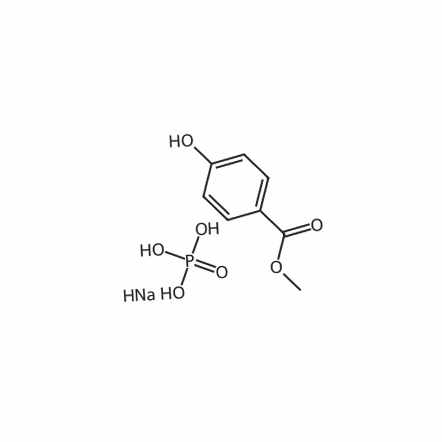 COC(=O)c1ccc(O)cc1.O=P(O)(O)O.[NaH]